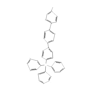 Cc1ccc(-c2ccc(-c3ccc([Si](c4ccccc4)(c4ccccc4)c4ccccc4)cc3)cc2)cc1